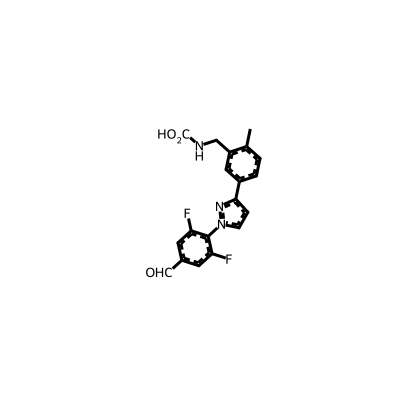 Cc1ccc(-c2ccn(-c3c(F)cc(C=O)cc3F)n2)cc1CNC(=O)O